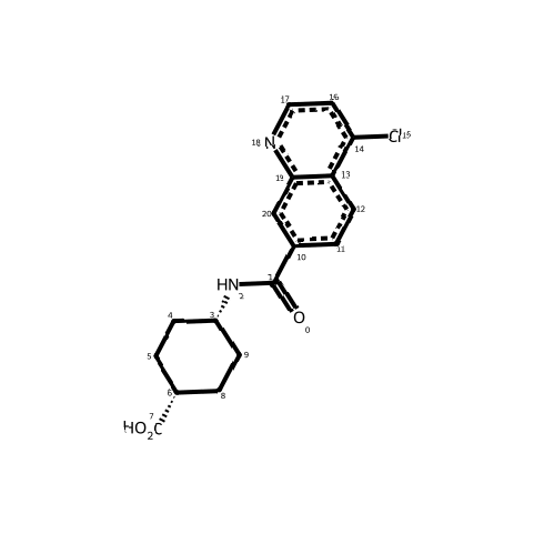 O=C(N[C@H]1CC[C@@H](C(=O)O)CC1)c1ccc2c(Cl)ccnc2c1